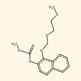 COCCOCOc1c(OC(=O)OC)ccc2ccccc12